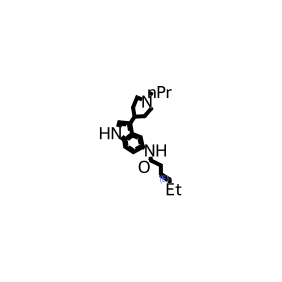 CC/C=C/CC(=O)Nc1ccc2[nH]cc(C3CCN(CCC)CC3)c2c1